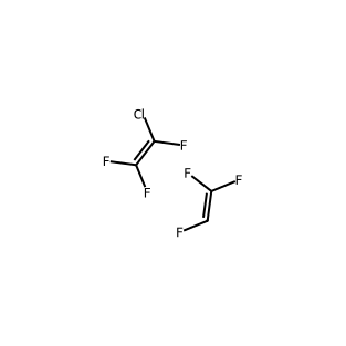 FC(F)=C(F)Cl.FC=C(F)F